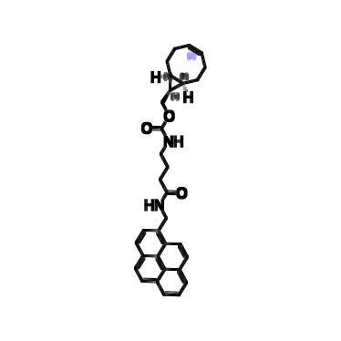 O=C(CCCNC(=O)OC[C@@H]1[C@@H]2CC/C=C\CC[C@@H]21)NCc1ccc2ccc3cccc4ccc1c2c34